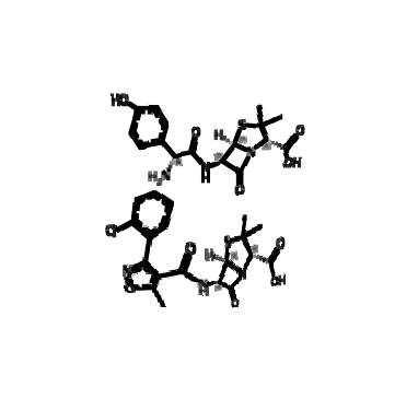 CC1(C)S[C@@H]2[C@H](NC(=O)[C@H](N)c3ccc(O)cc3)C(=O)N2[C@H]1C(=O)O.Cc1onc(-c2ccccc2Cl)c1C(=O)N[C@@H]1C(=O)N2[C@@H]1SC(C)(C)[C@@H]2C(=O)O